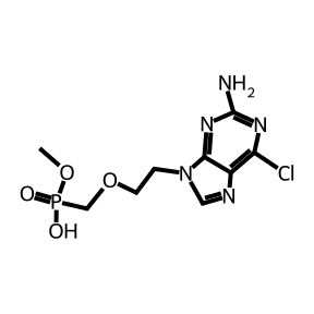 COP(=O)(O)COCCn1cnc2c(Cl)nc(N)nc21